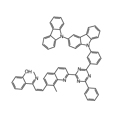 C/N=C(/C=C\c1ccc2ccc(-c3nc(-c4ccccc4)nc(-c4cccc(-n5c6ccccc6c6cc(-n7c8ccccc8c8ccccc87)ccc65)c4)n3)nc2c1C)c1ccccc1O